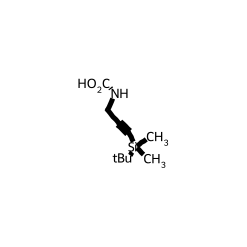 CC(C)(C)[Si](C)(C)C#CCNC(=O)O